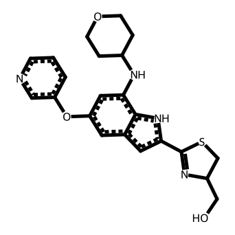 OCC1CSC(c2cc3cc(Oc4cccnc4)cc(NC4CCOCC4)c3[nH]2)=N1